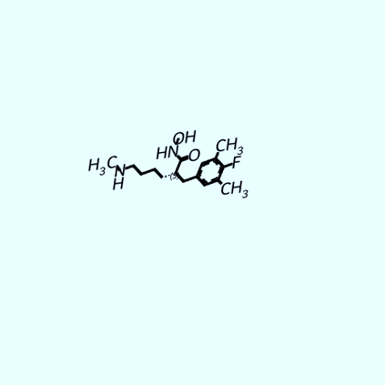 CNCCCC[C@@H](Cc1cc(C)c(F)c(C)c1)C(=O)NO